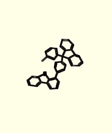 Cc1cccc(C2(c3ccc(-c4cccc5c4sc4ccccc45)cc3)c3ccccc3-c3ccccc32)c1